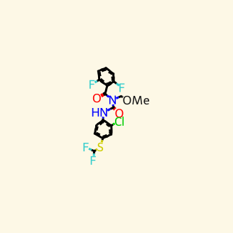 COCN(C(=O)Nc1ccc(SC(F)F)cc1Cl)C(=O)c1c(F)cccc1F